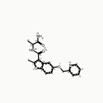 Cc1oc2ccc(OCc3ccccn3)cc2c1C(=O)NC(C)C(N)=O